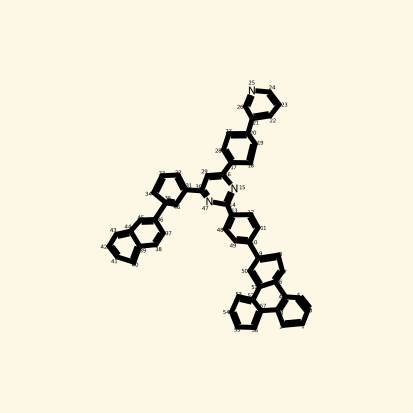 c1ccc2c(c#1)c1ccc(-c3ccc(-c4nc(-c5ccc(-c6cccnc6)cc5)cc(-c5cccc(-c6ccc7ccccc7c6)c5)n4)cc3)cc1c1ccccc21